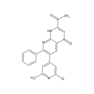 CC(=O)c1cc(=O)c2cc(-c3cc(C)nc(Cl)c3)c(-c3ccccc3)nc2[nH]1